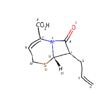 C=CCC1C(=O)N2C(C(=O)O)=CCS[C@@H]12